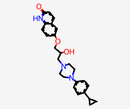 O=c1ccc2cc(OCC(O)CN3CCN(c4ccc(C5CC5)cc4)CC3)ccc2[nH]1